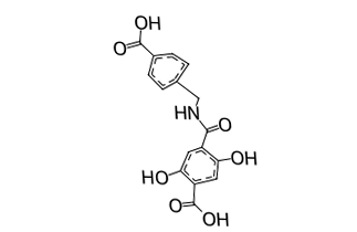 O=C(O)c1ccc(CNC(=O)c2cc(O)c(C(=O)O)cc2O)cc1